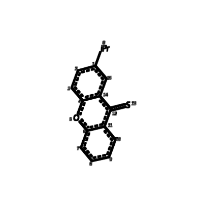 CC(C)c1ccc2oc3ccc[c]c3c(=S)c2c1